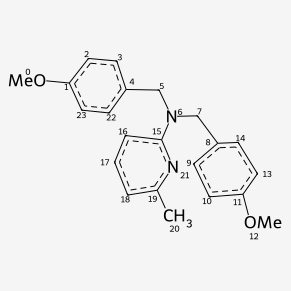 COc1ccc(CN(Cc2ccc(OC)cc2)c2cccc(C)n2)cc1